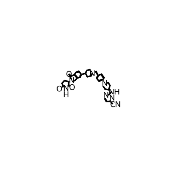 N#Cc1ccnc(NC2CCN(c3ccc(CN4CCC(c5ccc6c(c5)CN(C5CCC(=O)NC5=O)C6=O)CC4)cc3)CC2)n1